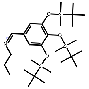 CCC/N=C\c1cc(O[Si](C)(C)C(C)(C)C)c(O[Si](C)(C)C(C)(C)C)c(O[Si](C)(C)C(C)(C)C)c1